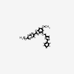 COc1cc(OCc2csc(-c3ccccc3)n2)c2nc(-c3cn4nc(OC)sc4n3)oc2c1